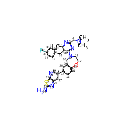 Cc1nc(CN(C)C)nc(N2CCOc3ccc(-c4cnc5sc(N)nc5c4)cc3C2)c1Cc1ccc(F)cc1